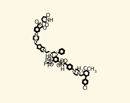 CC1(C)CCC(c2ccc(Cl)cc2)=C(CN2CCN(c3ccc(C(=O)NS(=O)(=O)c4ccc(N[C@H](CCN5CC6CC(CN7CCN(c8ccc9c(c8)C(=O)N(C8CCC(=O)NC8=O)C9=O)CC7)CC6C5)CSc5ccccc5)c(S(=O)(=O)C(F)(F)F)c4)cc3)CC2)C1